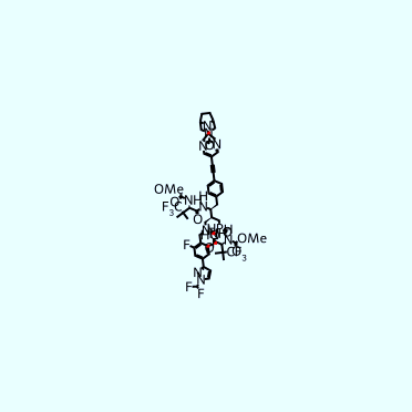 COC(=O)N[C@H](C(=O)N[C@@H](Cc1ccc(C#Cc2cnc(N3CC4CCC(C3)N4C3COC3)nc2)cc1)[C@H](CN(Cc1c(F)cc(-c2ccn(C(F)F)n2)cc1F)NC(=O)[C@@H](NC(=O)OC)C(C)(C)C(F)(F)F)C[PH](=O)O)C(C)(C)C(F)(F)F